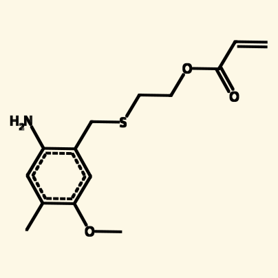 C=CC(=O)OCCSCc1cc(OC)c(C)cc1N